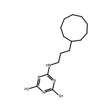 Sc1nc(S)nc(NCCCC2CCCCCCCC2)n1